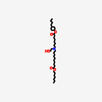 CCCCCCCOC(=O)CCCCCCCCCN(CCO)CCCCCCCC(=O)OC1CCC(CCCC)CC1